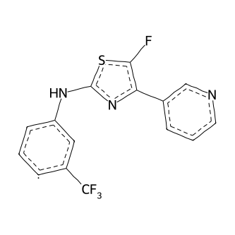 Fc1sc(Nc2cc[c]c(C(F)(F)F)c2)nc1-c1cccnc1